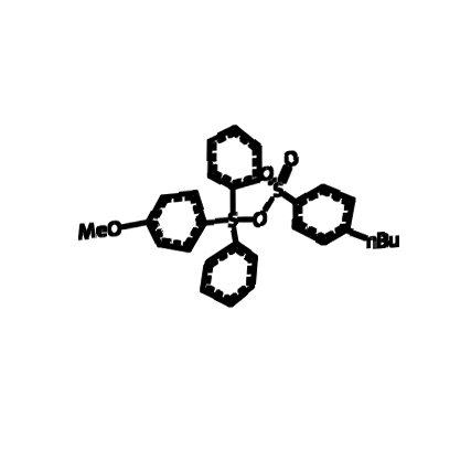 CCCCc1ccc(S(=O)(=O)OS(c2ccccc2)(c2ccccc2)c2ccc(OC)cc2)cc1